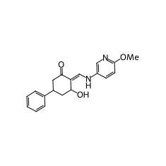 COc1ccc(N/C=C2/C(=O)CC(c3ccccc3)CC2O)cn1